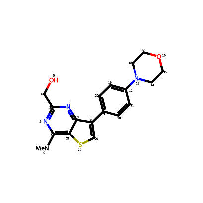 CNc1nc(CO)nc2c(-c3ccc(N4CCOCC4)cc3)csc12